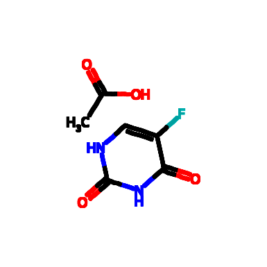 CC(=O)O.O=c1[nH]cc(F)c(=O)[nH]1